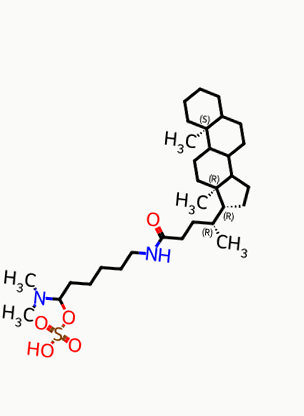 C[C@H](CCC(=O)NCCCCCC(OS(=O)(=O)O)N(C)C)[C@H]1CCC2C3CCC4CCCC[C@]4(C)C3CC[C@@]21C